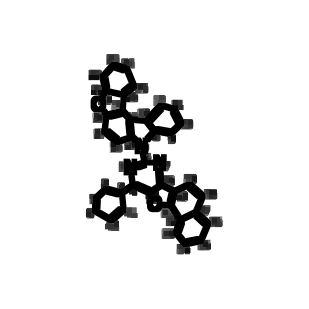 c1ccc(-c2nc(-n3c4ccccc4c4c5c(ccc43)oc3ccccc35)nc3c2oc2c4ccccc4ccc32)cc1